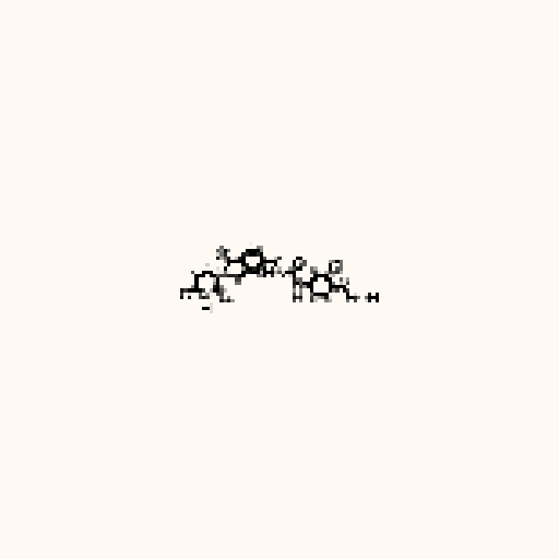 O=C1CCC(N2Cc3cc(CNC(=O)Nc4ccc(CCO)c(Cl)c4)ccc3C2=O)C(=O)N1